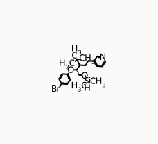 C[SiH](C)OC[C@@H](Oc1ccc(Br)cc1)C(CCc1cccnc1)C(C)(C)C